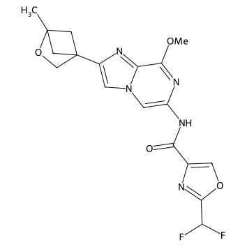 COc1nc(NC(=O)c2coc(C(F)F)n2)cn2cc(C34COC(C)(C3)C4)nc12